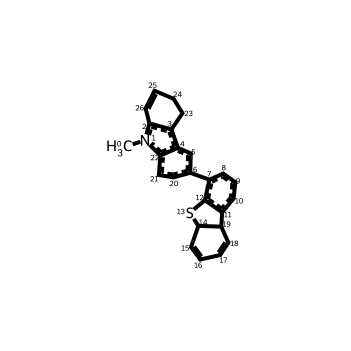 Cn1c2c(c3cc(-c4cccc5c4SC4C=CC=CC54)ccc31)CCC=C2